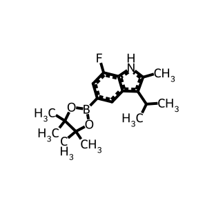 Cc1[nH]c2c(F)cc(B3OC(C)(C)C(C)(C)O3)cc2c1C(C)C